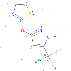 Cn1nc(Oc2nccs2)cc1C(F)(F)F